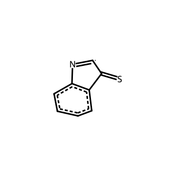 S=C1[C]=Nc2ccccc21